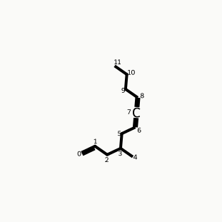 C=CCC(C)CC=C=CCCC